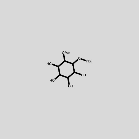 CCCCOC1C(O)C(O)C(O)C(O)C1OC